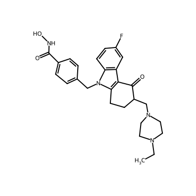 CCN1CCN(CC2CCc3c(c4cc(F)ccc4n3Cc3ccc(C(=O)NO)cc3)C2=O)CC1